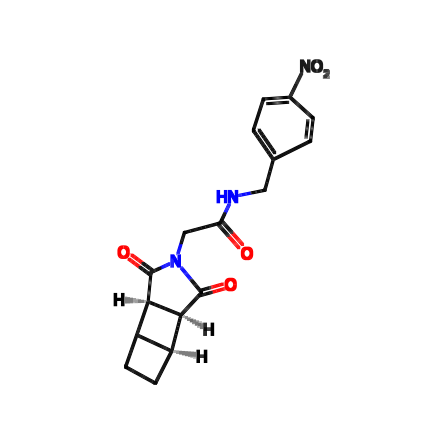 O=C(CN1C(=O)[C@@H]2[C@H](C1=O)C1CC[C@@H]12)NCc1ccc([N+](=O)[O-])cc1